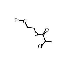 CCOCCOC(=O)C(C)Cl